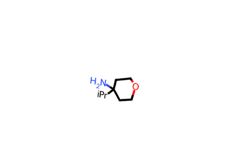 CC(C)C1(N)CCOCC1